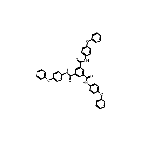 O=C(Nc1ccc(Oc2ccccc2)cc1)c1cc(C(=O)Nc2ccc(Oc3ccccc3)cc2)cc(C(=O)Nc2ccc(Oc3ccccc3)cc2)c1